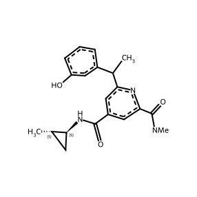 CNC(=O)c1cc(C(=O)N[C@H]2C[C@@H]2C)cc(C(C)c2cccc(O)c2)n1